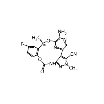 C[C@H]1Oc2nc(cnc2N)-c2c(nn(C)c2C#N)NC(=O)Oc2ccc(F)cc21